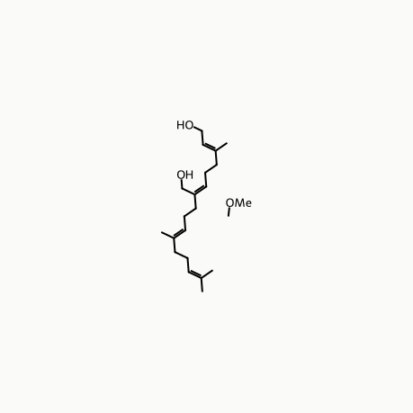 CC(C)=CCCC(C)=CCCC(=CCCC(C)=CCO)CO.COC